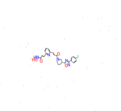 O=C(/C=C/c1cccc(/C=C/C(=O)N2CCCC(c3nc(-c4ccc(F)cc4)no3)C2)n1)NO